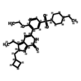 CCOc1ncc(S(=O)(=O)N2CCN(CC)CC2)cc1-c1nc2c(CC)n(CC3CCC3)nc2c(=O)[nH]1